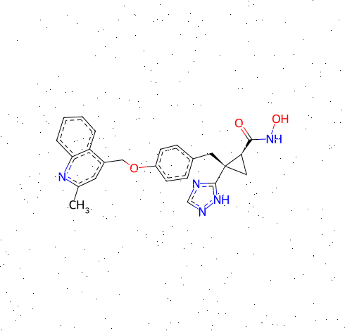 Cc1cc(COc2ccc(C[C@]3(c4ncn[nH]4)C[C@@H]3C(=O)NO)cc2)c2ccccc2n1